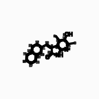 Cc1nc2c(c(C)c1O)C(=Cc1ccc3ccccc3c1)C(=O)N2